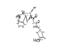 N#C[C@@H]1C[C@@]2(CN1C(=O)CC(=O)NC[C@H]1CC[C@H](O)C1)C(=O)Nc1ccccc12